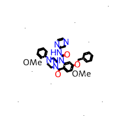 COc1cc(C(=O)N2CCN(c3ccccc3OC)CC2)c(NC(=O)Nc2cnccn2)cc1OCc1ccccc1